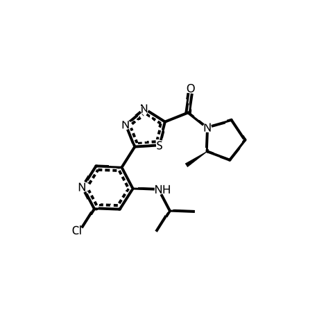 CC(C)Nc1cc(Cl)ncc1-c1nnc(C(=O)N2CCC[C@H]2C)s1